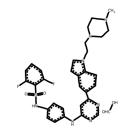 CN1CCN(CCn2ccc3cc(-c4cc(Nc5ccc(NS(=O)(=O)c6c(F)cccc6F)cc5)ncn4)ccc32)CC1.O=CO